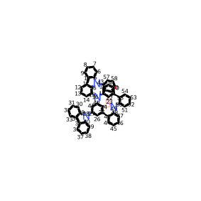 c1ccc(-n2c3ccccc3c3cccc(N4c5cccc6c5B5c7c(cc(-n8c9ccccc9c9ccccc98)cc74)-c4ccccc4N5c4ccccc4-6)c32)cc1